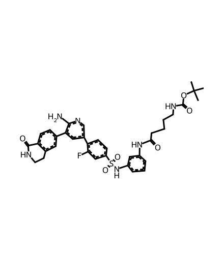 CC(C)(C)OC(=O)NCCCCC(=O)Nc1cccc(NS(=O)(=O)c2ccc(-c3cnc(N)c(-c4ccc5c(c4)CCNC5=O)c3)c(F)c2)c1